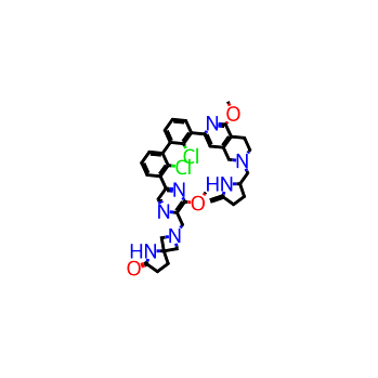 C=C1CCC(CN2CCc3c(cc(-c4cccc(-c5cccc(-c6cnc(CN7CC8(CCC(=O)N8)C7)c(OC)n6)c5Cl)c4Cl)nc3OC)C2)N1